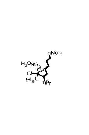 CCCCCCCCCCCCCCC(CCC)C(C)(C)Cl.N.O